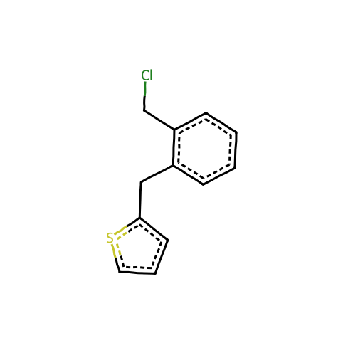 ClCc1ccccc1Cc1cccs1